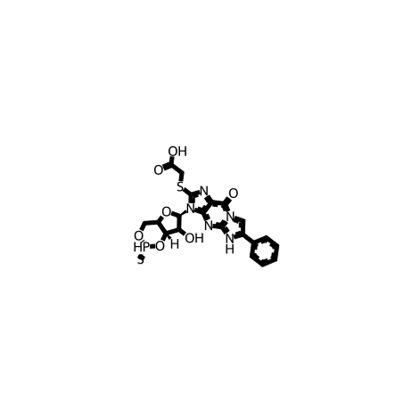 O=C(O)CSc1nc2c(=O)n3cc(-c4ccccc4)[nH]c3nc2n1[C@@H]1OC2CO[PH](=S)O[C@H]2C1O